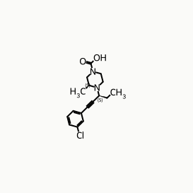 CC[C@@H](C#Cc1cccc(Cl)c1)N1CCN(C(=O)O)C[C@@H]1C